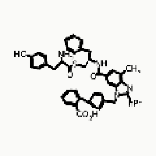 CCCc1nc2c(C)cc(C(=O)N[C@@H](CSC(=O)[C@@H](N)Cc3ccc(O)cc3)Cc3ccccc3)cc2n1Cc1ccc(-c2ccccc2C(=O)O)cc1